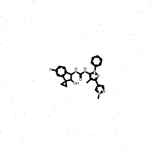 Cc1c(-c2cnn(C)c2)nn(-c2ccccc2)c1NC(=O)NC1c2ccc(F)cc2C2(CC2)C1O